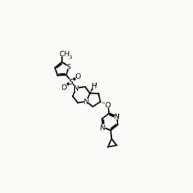 Cc1ccc(S(=O)(=O)N2CCN3C[C@@H](Oc4cnc(C5CC5)cn4)C[C@H]3C2)s1